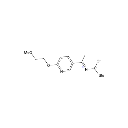 COCCOc1ccc(/C(C)=N/[S+]([O-])C(C)(C)C)cn1